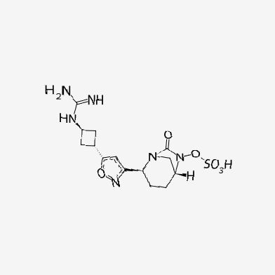 N=C(N)N[C@H]1C[C@H](c2cc([C@@H]3CC[C@@H]4CN3C(=O)N4OS(=O)(=O)O)no2)C1